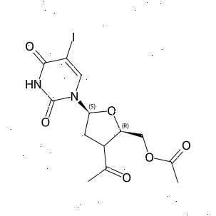 CC(=O)OC[C@@H]1O[C@H](n2cc(I)c(=O)[nH]c2=O)CC1C(C)=O